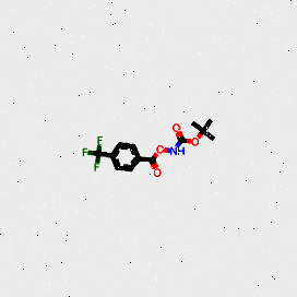 CC(C)(C)OC(=O)NOC(=O)c1ccc(C(F)(F)F)cc1